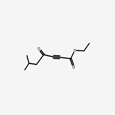 CCOC(=O)C#CC(=O)CC(C)C